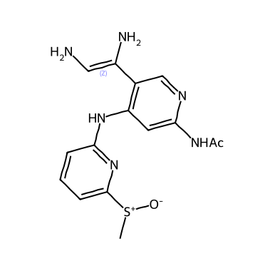 CC(=O)Nc1cc(Nc2cccc([S+](C)[O-])n2)c(/C(N)=C/N)cn1